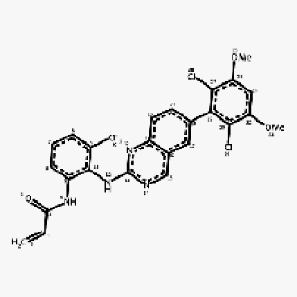 C=CC(=O)Nc1cccc(C(F)(F)F)c1Nc1ncc2cc(-c3c(Cl)c(OC)cc(OC)c3Cl)ccc2n1